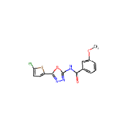 O=C(Nc1nnc(-c2ccc(Cl)s2)o1)c1cccc(OC(F)(F)F)c1